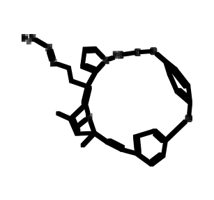 CC1=CC2(C)/C=C/c3ccc(cc3)Oc3ccc(cc3)OCBn3cccc3/C(CCN=NN)=C/1N2C